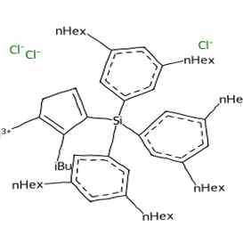 CCCCCCc1cc(CCCCCC)cc([Si](C2=CC[C]([Ti+3])=C2C(C)CC)(c2cc(CCCCCC)cc(CCCCCC)c2)c2cc(CCCCCC)cc(CCCCCC)c2)c1.[Cl-].[Cl-].[Cl-]